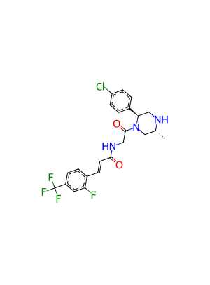 C[C@@H]1CN(C(=O)CNC(=O)/C=C/c2ccc(C(F)(F)F)cc2F)[C@@H](c2ccc(Cl)cc2)CN1